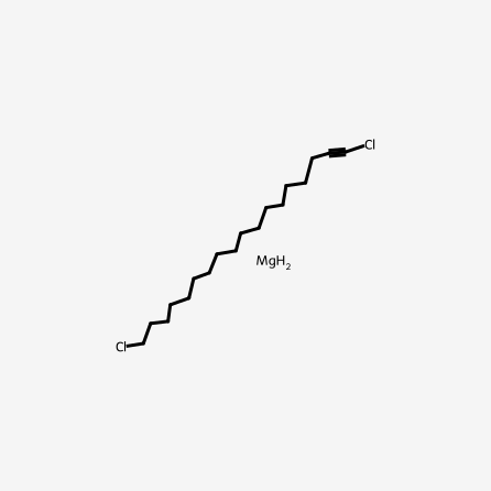 ClC#CCCCCCCCCCCCCCCCCCl.[MgH2]